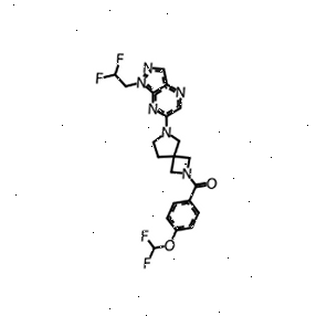 O=C(c1ccc(OC(F)F)cc1)N1CC2(CCN(c3cnc4cnn(CC(F)F)c4n3)C2)C1